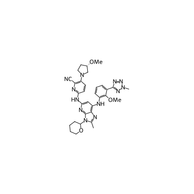 COc1c(Nc2cc(Nc3ccc(N4CC[C@H](OC)C4)c(C#N)n3)nc3c2nc(C)n3C2CCCCO2)cccc1-c1nnn(C)n1